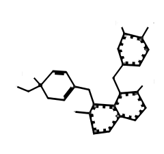 OCC1(O)C=CC(Cc2c(O)ccc3ccc(O)c(Cc4ccc(O)c(O)c4)c23)=CC1